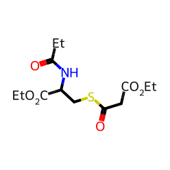 CCOC(=O)CC(=O)SCC(NC(=O)CC)C(=O)OCC